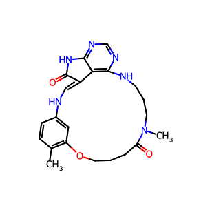 Cc1ccc2cc1OCCCC(=O)N(C)CCCNc1ncnc3c1/C(=C/N2)C(=O)N3